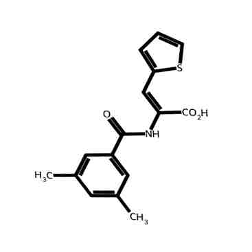 Cc1cc(C)cc(C(=O)NC(=Cc2cccs2)C(=O)O)c1